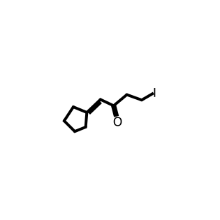 O=C(C=C1CCCC1)CCI